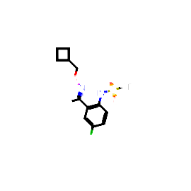 C/C(=N\OCC1CCC1)c1cc(Cl)ccc1NS(=O)(=O)C(F)(F)F